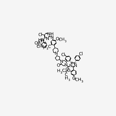 COc1ccc(C2=N[C@@H](c3ccc(Cl)cc3)[C@@H](c3ccc(Cl)cc3)N2C(=O)N2CCN(C3CCC(N4CCC(c5cc(OC)c(Nc6ncc(Cl)c(Nc7ccccc7P(C)(C)=O)n6)cc5C)CC4)C3)C(=O)C2)c(OC(C)C)c1